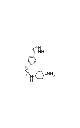 N[C@H]1CC[C@@H](N[C@H]2C[C@@H]2c2ccc(-c3ccn[nH]3)cc2)CC1